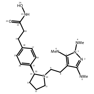 CNc1nn(NC)c(NC)c1CCN1CCC[C@H]1c1ccc(CCC(=O)NO)cc1